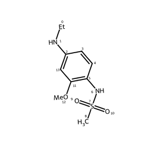 CCNc1ccc(NS(C)(=O)=O)c(OC)c1